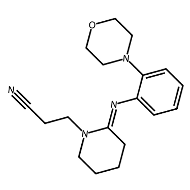 N#CCCN1CCCC/C1=N\c1ccccc1N1CCOCC1